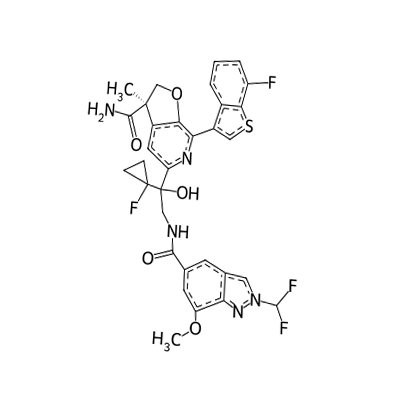 COc1cc(C(=O)NCC(O)(c2cc3c(c(-c4csc5c(F)cccc45)n2)OC[C@]3(C)C(N)=O)C2(F)CC2)cc2cn(C(F)F)nc12